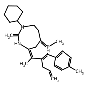 C=CCC1=C(c2ccc(C)cc2)[PH](C)=C2CCN(C3CCCCC3)C(=C)NC(=C1C)C2